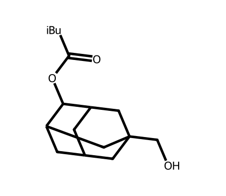 CCC(C)C(=O)OC1C2CC3CC1CC(CO)(C3)C2